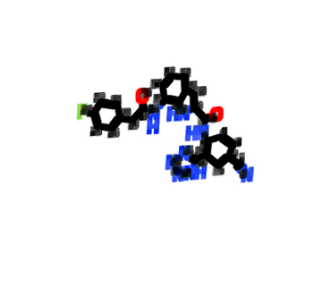 N#Cc1ccc(NC(=O)c2cc3cccc(NC(=O)Cc4ccc(F)cc4)c3[nH]2)c(-c2nnn[nH]2)c1